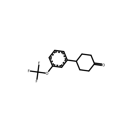 O=C1CCC(c2cccc(OC(F)(F)F)c2)CC1